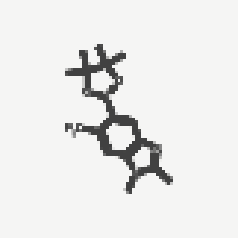 Cc1nc2cc(B3OC(C)(C)C(C)(C)O3)c(C(F)(F)F)cc2n1C